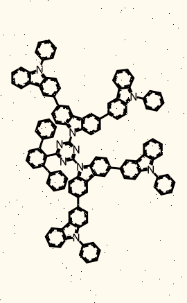 c1ccc(-c2cccc(-c3ccccc3)c2-c2nc(-n3c4ccc(-c5ccc6c(c5)c5ccccc5n6-c5ccccc5)cc4c4cc(-c5ccc6c(c5)c5ccccc5n6-c5ccccc5)ccc43)nc(-n3c4ccc(-c5ccc6c(c5)c5ccccc5n6-c5ccccc5)cc4c4cc(-c5ccc6c(c5)c5ccccc5n6-c5ccccc5)ccc43)n2)cc1